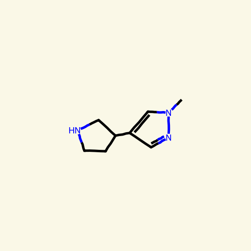 Cn1cc(C2CCNC2)cn1